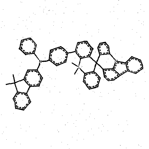 CC1(C)c2ccccc2-c2ccc(N(c3ccccc3)c3ccc(-c4cccc5c4S(C)(C)c4ccccc4C54c5ccccc5-n5c6ccccc6c6cccc4c65)cc3)cc21